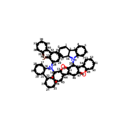 C1=CC2c3ccccc3N(c3c4oc5c(N(c6ccccc6-c6ccccc6)c6cccc7c6sc6ccccc67)cccc5c4cc4oc5ccccc5c34)C2C=C1